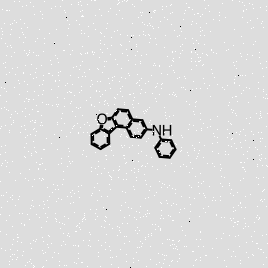 c1ccc(Nc2ccc3c(ccc4oc5ccccc5c43)c2)cc1